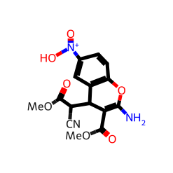 COC(=O)C1=C(N)Oc2ccc([N+](=O)O)cc2C1C(C#N)C(=O)OC